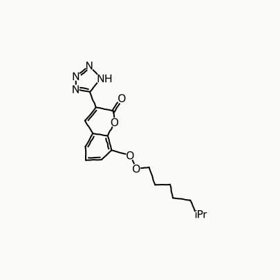 CC(C)CCCCCOOc1cccc2cc(-c3nnn[nH]3)c(=O)oc12